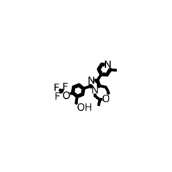 Cc1cc(-c2nc(-c3ccc(OC(F)(F)F)c(CO)c3)n3c2CCOC(C)C3)ccn1